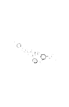 CC(=O)N(Cc1cc(C(F)(F)F)cc(C(F)(F)F)c1)CC1(c2ccccc2)CCC(N2CCC(c3ccc(F)cc3)CC2)CC1